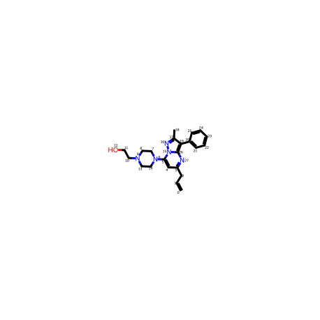 C=CCc1cc(N2CCN(CCO)CC2)n2nc(C)c(-c3ccccc3)c2n1